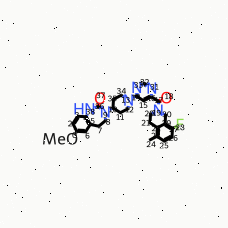 COc1ccc2c(c1)CCN(C1CCN(c3cc(C(=O)N4CCc5c(C)ccc(F)c5C4)ncn3)CC1)C(=O)N2